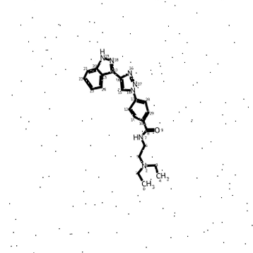 CCN(CC)CCNC(=O)c1ccc(-n2cc(-c3n[nH]c4ccccc34)nn2)cc1